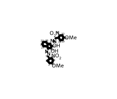 COc1ccc(CN=Nc2c(O)c(O)c(N=NCc3ccc(OC)cc3[N+](=O)[O-])c3ccccc23)c([N+](=O)[O-])c1